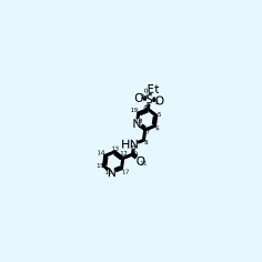 CCS(=O)(=O)c1ccc(CNC(=O)c2cccnc2)nc1